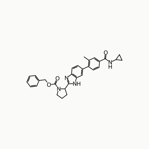 Cc1cc(C(=O)NC2CC2)ccc1-c1ccc2nc(C3CCCN3C(=O)OCc3ccccc3)[nH]c2c1